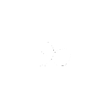 CCCCN1CCNCC1(N)CCCC